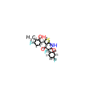 Cc1c(F)ccc(-c2csc3c2C(=O)C(F)(c2ccc(F)cc2)C(=O)N3)c1O